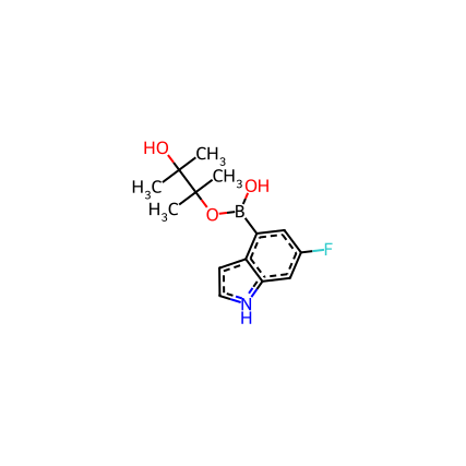 CC(C)(O)C(C)(C)OB(O)c1cc(F)cc2[nH]ccc12